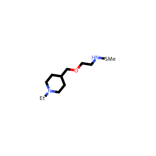 CCN1CCC(COCCNSC)CC1